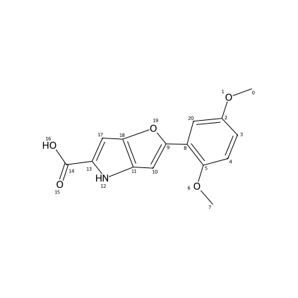 COc1ccc(OC)c(-c2cc3[nH]c(C(=O)O)cc3o2)c1